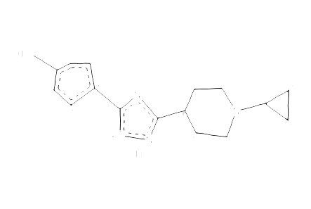 CC(C)(C)c1ccc(-c2nc(C3CCN(C4CC4)CC3)no2)cc1.Cl